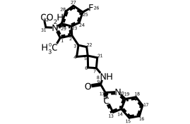 Cc1c(C2CC3(CC(NC(=O)c4ccc5ccccc5n4)C3)C2)c2cc(F)ccc2n1CC(=O)O